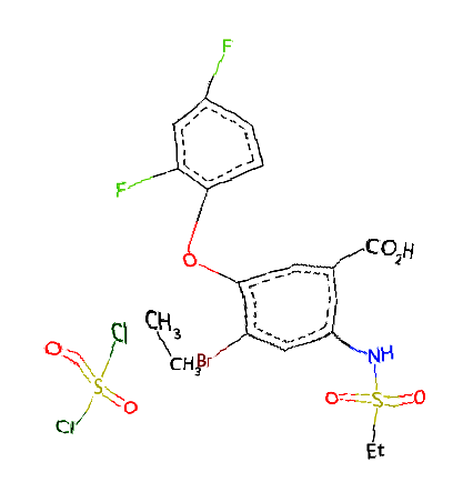 CC.CCS(=O)(=O)Nc1cc(Br)c(Oc2ccc(F)cc2F)cc1C(=O)O.O=S(=O)(Cl)Cl